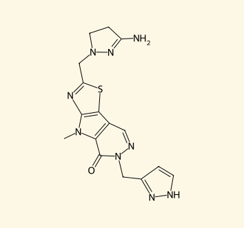 Cn1c2nc(CN3CCC(N)=N3)sc2c2cnn(Cc3cc[nH]n3)c(=O)c21